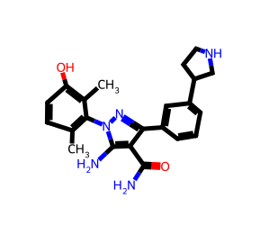 Cc1ccc(O)c(C)c1-n1nc(-c2cccc(C3CCNC3)c2)c(C(N)=O)c1N